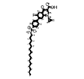 CCCCCCCCCCCCCCCNS(=O)(=O)c1ccc(-c2cc3c(cc2F)c(=O)c(C(=O)O)cn3C2CC2)cc1